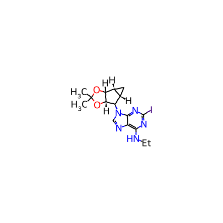 CCNc1nc(I)nc2c1ncn2[C@@H]1[C@H]2C[C@H]2[C@H]2OC(C)(C)O[C@H]21